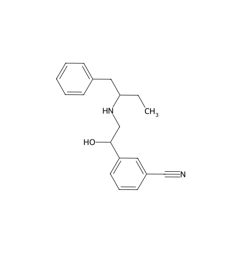 CCC(Cc1ccccc1)NCC(O)c1cccc(C#N)c1